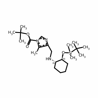 Cc1c(CN[C@H]2CCCC[C@@H]2O[Si](C)(C)C(C)(C)C)ncn1C(=O)OC(C)(C)C